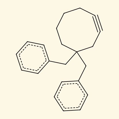 C1#CCC(Cc2ccccc2)(Cc2ccccc2)CCCC1